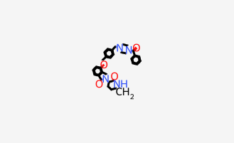 C=C1CCC(N2Cc3c(OCc4ccc(CN5CCN(C(=O)c6ccccc6)CC5)cc4)cccc3C2=O)C(=O)N1